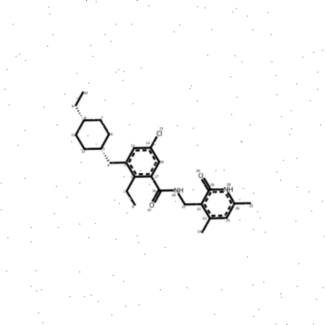 CCc1c(C[C@H]2CC[C@@H](CC)CC2)cc(Cl)cc1C(=O)NCc1c(C)cc(C)[nH]c1=O